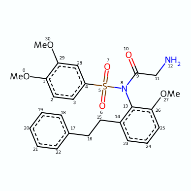 COc1ccc(S(=O)(=O)N(C(=O)CN)c2c(CCc3ccccc3)cccc2OC)cc1OC